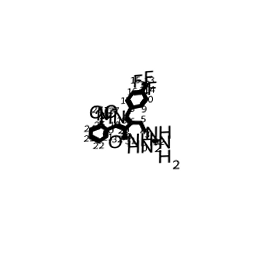 N=C(N)NCCc1c(-c2ccc(C(F)(F)F)cc2)[nH]c(-c2ccccc2[N+](=O)[O-])c1C(N)=O